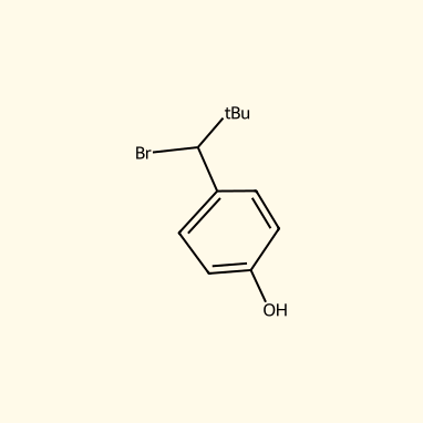 CC(C)(C)C(Br)c1ccc(O)cc1